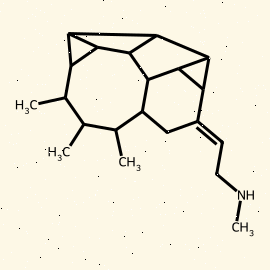 CNC/C=C1\CC2C(C)C(C)C(C)C3C4C3C3C5C1C5C2C43